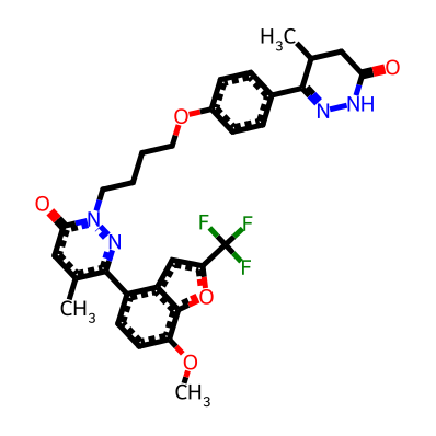 COc1ccc(-c2nn(CCCCOc3ccc(C4=NNC(=O)CC4C)cc3)c(=O)cc2C)c2cc(C(F)(F)F)oc12